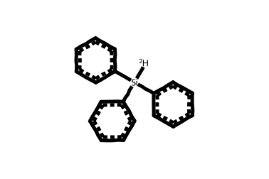 [2H][Si](c1ccccc1)(c1ccccc1)c1ccccc1